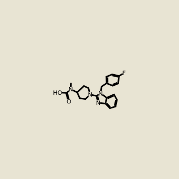 CN(C(=O)O)C1CCN(c2nc3ccccc3n2Cc2ccc(F)cc2)CC1